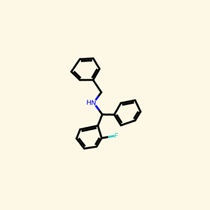 Fc1ccccc1C(NCc1ccccc1)c1ccccc1